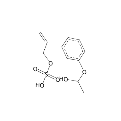 C=CCOS(=O)(=O)O.CC(O)Oc1ccccc1